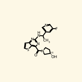 CC(Nc1nc(C(=O)N2CC[C@H](O)C2)c2sccc2n1)c1cncc(F)c1